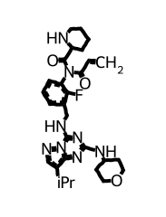 C=CC(=O)N(C(=O)C1CCCCN1)c1cccc(CNc2nc(NC3CCOCC3)nc3c(C(C)C)cnn23)c1F